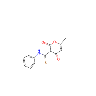 CC1=CC(=O)C(C(=S)Nc2ccccc2)C(=O)O1